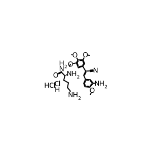 COc1ccc(C=C(C#N)c2cc(OC)c(OC)c(OC)c2)cc1N.Cl.Cl.NCCCC[C@H](N)C(N)=O